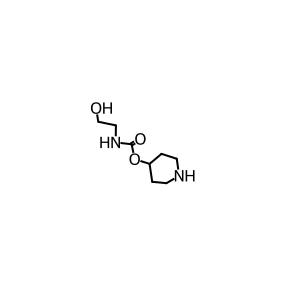 O=C(NCCO)OC1CCNCC1